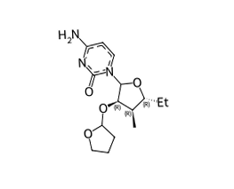 CC[C@H]1OC(n2ccc(N)nc2=O)[C@H](OC2CCCO2)[C@@H]1C